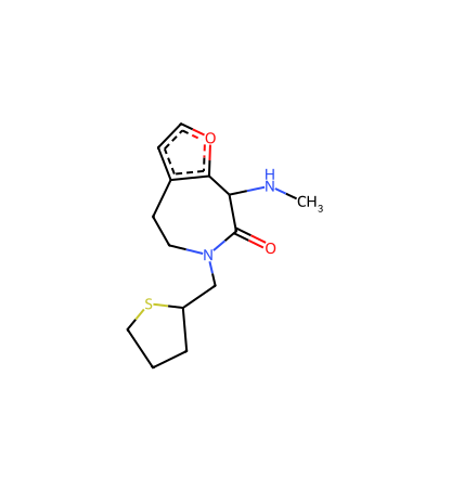 CNC1C(=O)N(CC2CCCS2)CCc2ccoc21